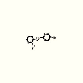 COc1ncccc1CNc1ccc(Br)cn1